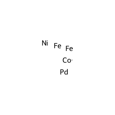 [Co].[Fe].[Fe].[Ni].[Pd]